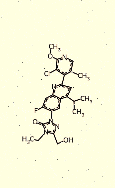 CCn1c(CO)nn(-c2cc3c(C(C)C)cc(-c4c(C)cnc(OC)c4Cl)nc3cc2F)c1=O